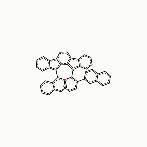 c1ccc(-n2c3ccccc3c3ccc4c5ccccc5n(-c5cccc6ccccc56)c4c32)c(-c2ccc3ccccc3c2)c1